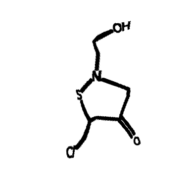 O=C1CN(CO)SC1Cl